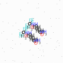 C[C@]12C=CC(=O)N[C@@H]1CC[C@@H]1[C@@H]2CC[C@]2(C)[C@@H](C(=O)Nc3cc(C(F)(F)F)ccc3C(F)(F)F)CC[C@@H]12.C[C@]12C=CC(=O)N[C@@H]1CC[C@@H]1[C@@H]2CC[C@]2(C)[C@@H](C(=O)Nc3cc(C(F)(F)F)ccc3C(F)(F)F)CC[C@@H]12